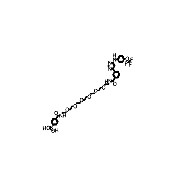 O=C(NCCOCCOCCOCCOCCOCCOCCNC(=O)c1cccc(-c2cc(Nc3ccc(OC(F)(F)F)cc3)ncn2)c1)c1ccc(B(O)O)cc1